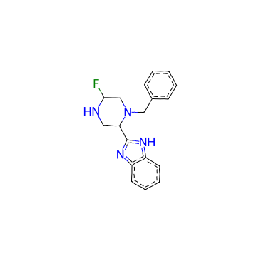 FC1CN(Cc2ccccc2)C(c2nc3ccccc3[nH]2)CN1